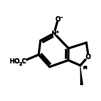 C[C@H]1OCc2c1cc(C(=O)O)c[n+]2[O-]